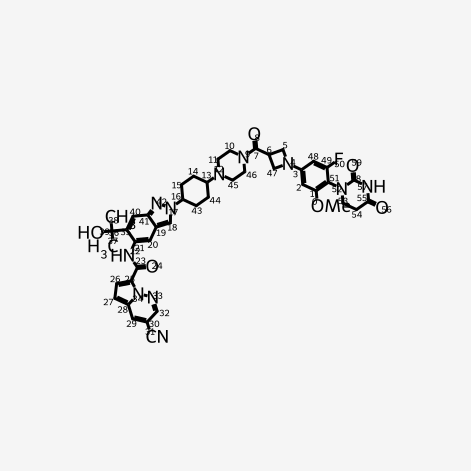 COc1cc(N2CC(C(=O)N3CCN(C4CCC(n5cc6cc(NC(=O)c7ccc8cc(C#N)cnn78)c(C(C)(C)O)cc6n5)CC4)CC3)C2)cc(F)c1N1CCC(=O)NC1=O